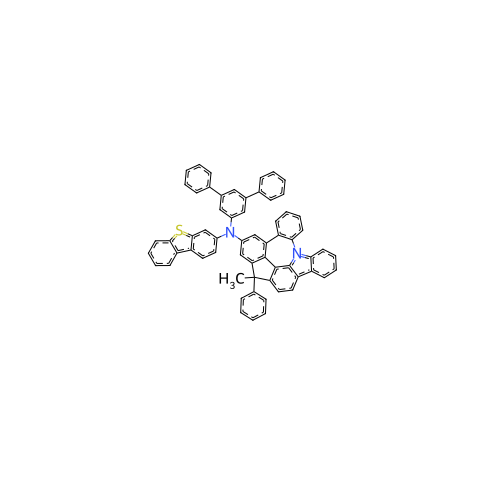 CC1(c2ccccc2)c2cc(N(c3cc(-c4ccccc4)cc(-c4ccccc4)c3)c3ccc4c(c3)sc3ccccc34)cc3c2-c2c1ccc1c4ccccc4n(c21)-c1ccccc1-3